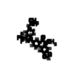 CNCN1CCc2c(c(C(F)(F)F)nn2-c2cccc(C(=O)N(C)c3ccc4c(c3)OCO4)c2)C1